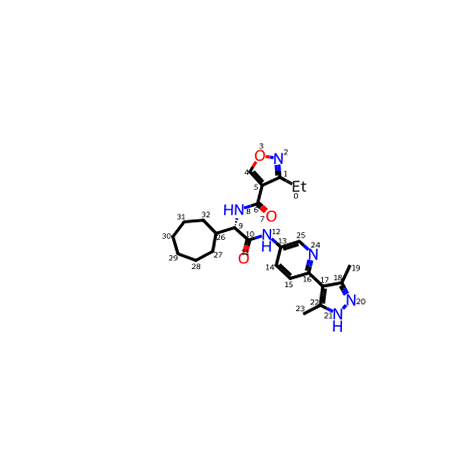 CCc1nocc1C(=O)N[C@H](C(=O)Nc1ccc(-c2c(C)n[nH]c2C)nc1)C1CCCCCC1